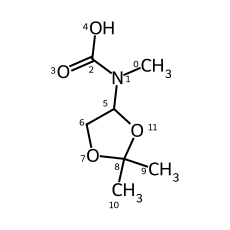 CN(C(=O)O)C1COC(C)(C)O1